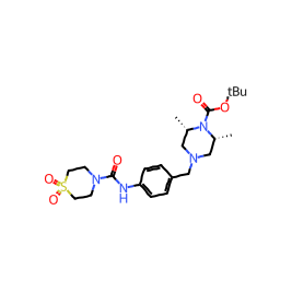 C[C@@H]1CN(Cc2ccc(NC(=O)N3CCS(=O)(=O)CC3)cc2)C[C@H](C)N1C(=O)OC(C)(C)C